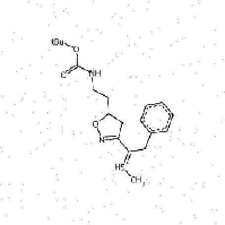 C/[SH]=C(\Cc1ccccc1)C1=NOC(CCNC(=O)OC(C)(C)C)C1